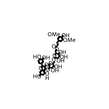 COc1cc(/C=C/C(=O)OCC2O[C@@H](OCC3O[C@@H](Oc4cc5c(O)cc(O)cc5[o+]c4-c4ccc(O)c(O)c4)C(O)C(O)[C@@H]3O)C(O)C(O)[C@@H]2O)cc(OC)c1O